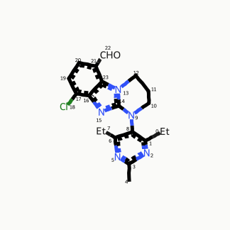 CCc1nc(C)nc(CC)c1N1CCCn2c1nc1c(Cl)ccc(C=O)c12